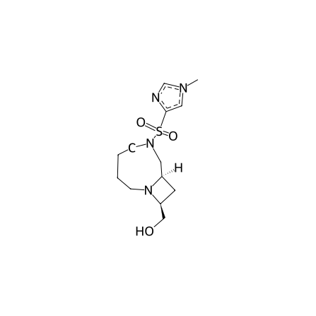 Cn1cnc(S(=O)(=O)N2CCCCN3[C@H](CO)C[C@@H]3C2)c1